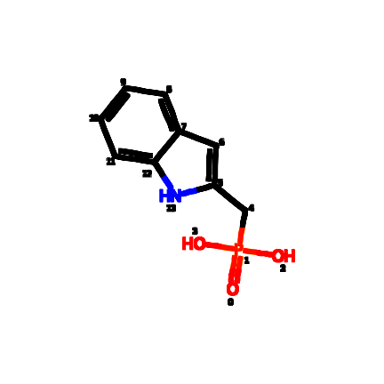 O=P(O)(O)Cc1cc2ccccc2[nH]1